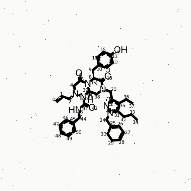 C=CCN1CC(=O)N2[C@@H](Cc3ccc(O)cc3)C(=O)N(Cc3nn(CC4=CC=CCC4)c(CCC)c3CC)C[C@@H]2N1C(=O)NCc1ccccc1